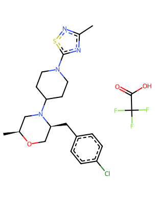 Cc1nsc(N2CCC(N3C[C@H](C)OC[C@@H]3Cc3ccc(Cl)cc3)CC2)n1.O=C(O)C(F)(F)F